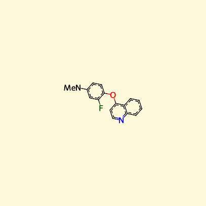 CNc1ccc(Oc2ccnc3ccccc23)c(F)c1